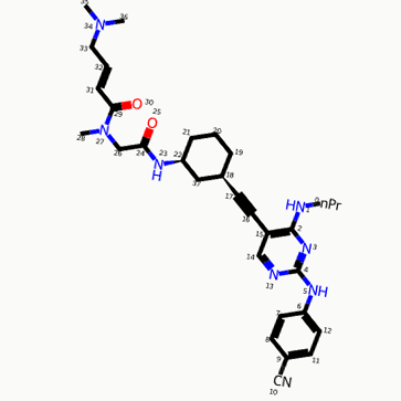 CCCNc1nc(Nc2ccc(C#N)cc2)ncc1C#C[C@@H]1CCC[C@H](NC(=O)CN(C)C(=O)/C=C/CN(C)C)C1